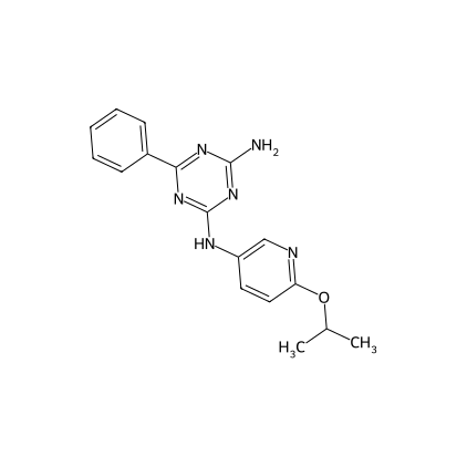 CC(C)Oc1ccc(Nc2nc(N)nc(-c3ccccc3)n2)cn1